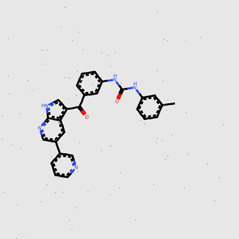 Cc1cccc(NC(=O)Nc2cccc(C(=O)c3c[nH]c4ncc(-c5cccnc5)cc34)c2)c1